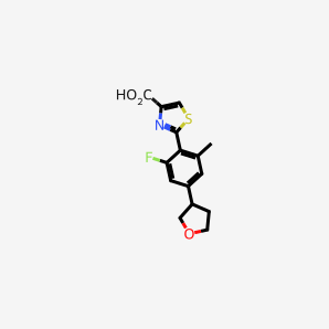 Cc1cc(C2CCOC2)cc(F)c1-c1nc(C(=O)O)cs1